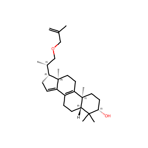 C=C(C)COC[C@@H](C)[C@H]1CC=C2C3=C(CC[C@@]21C)[C@@]1(C)CC[C@H](O)C(C)(C)[C@@H]1CC3